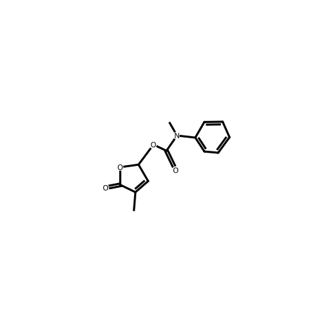 CC1=CC(OC(=O)N(C)c2ccccc2)OC1=O